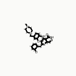 COc1cc(CN2CCN(C)CC2)ccc1Nc1cc(Cc2ccccc2Cl)nc2cn[nH]c(=O)c12